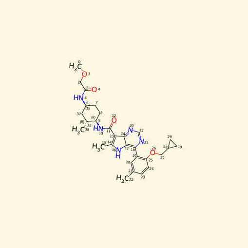 COCC(=O)N[C@H]1CC[C@@H](NC(=O)c2c(C)[nH]c3c(-c4cc(C)ccc4OCC4CC4)ncnc23)[C@H](C)C1